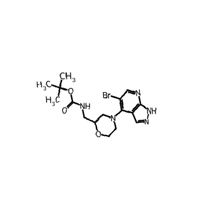 CC(C)(C)OC(=O)NCC1CN(c2c(Br)cnc3[nH]ncc23)CCO1